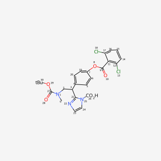 CN(CC(c1ccc(OC(=O)c2c(Cl)cccc2Cl)cc1)c1nccn1C(=O)O)C(=O)OC(C)(C)C